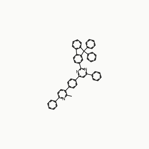 Cc1nc(-c2ccccc2)ccc1-c1ccc(-c2cc(-c3ccccc3)nc(-c3ccc4c(c3)C(c3ccccc3)(c3ccccc3)c3ccccc3-4)n2)cc1